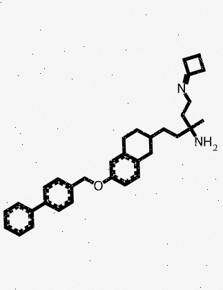 CC(N)(CCN=C1CCC1)CCC1CCc2cc(OCc3ccc(-c4ccccc4)cc3)ccc2C1